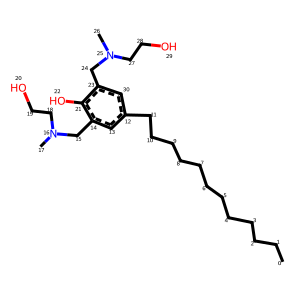 CCCCCCCCCCCCc1cc(CN(C)CCO)c(O)c(CN(C)CCO)c1